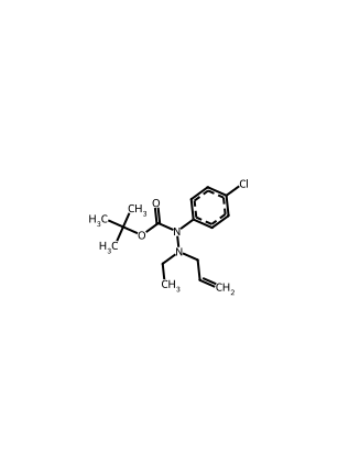 C=CCN(CC)N(C(=O)OC(C)(C)C)c1ccc(Cl)cc1